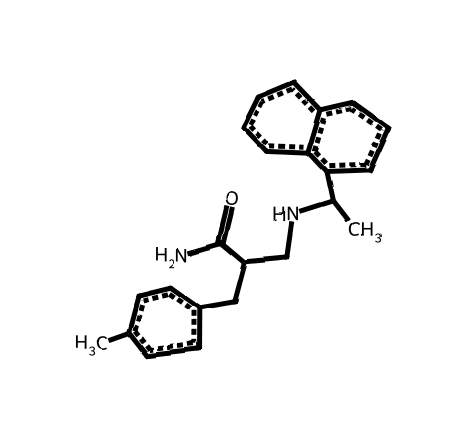 Cc1ccc(CC(CNC(C)c2cccc3ccccc23)C(N)=O)cc1